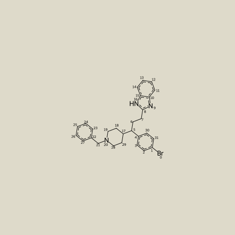 Brc1ccc(C(CCc2nc3ccccc3[nH]2)C2CCN(Cc3ccccc3)CC2)cc1